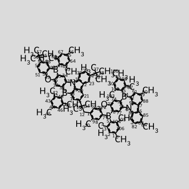 Cc1cc(C)c(B2c3cc(C)c(CC(C)(C)c4cc5c6c(c4)c4cc(C(C)(C)C)ccc4n6-c4cc6c(cc4B5c4c(C)cc(C)cc4C)Oc4ccc(C(C)(C)C)cc4B6c4c(C)cc(C)cc4C)cc3Oc3cc4c(cc32)-n2c3ccc(C)cc3c3cc(C)cc(c32)B4c2c(C)cc(C)cc2C)c(C)c1